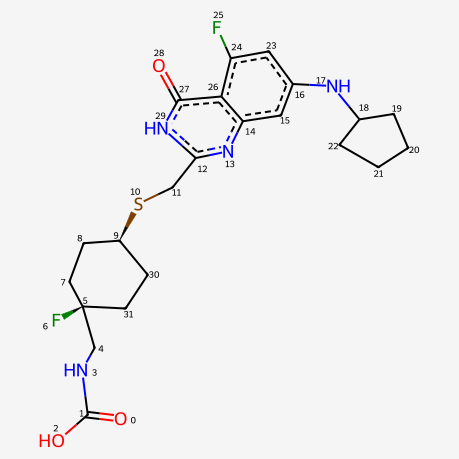 O=C(O)NC[C@]1(F)CC[C@@H](SCc2nc3cc(NC4CCCC4)cc(F)c3c(=O)[nH]2)CC1